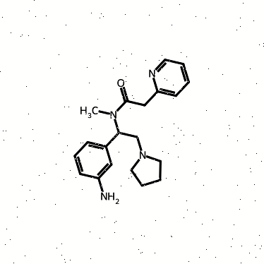 CN(C(=O)Cc1ccccn1)C(CN1CCCC1)c1cccc(N)c1